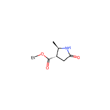 CCOC(=O)[C@H]1CC(=O)N[C@@H]1C